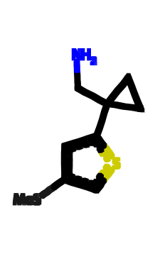 CSc1csc(C2(CN)CC2)c1